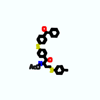 CC(=O)O/N=C(\CCSc1ccc(C)cc1)C(=O)c1ccc(Sc2ccc(C(=O)C3=CCCC=C3)cc2)cc1